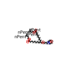 CCCCCC(CCCCC)CCOC(=O)CCCCCCCC(CCCCCCCC(=O)OCCC(CCCCC)CCCCC)COCCCN1CCOCC1